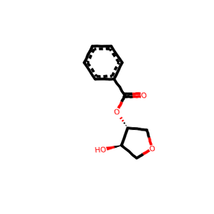 O=C(O[C@@H]1COC[C@H]1O)c1ccccc1